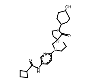 O=C(Nc1ccc(N2CCC[C@@]3(CCN(C4CCC(O)CC4)C3=O)C2)nc1)C1CCC1